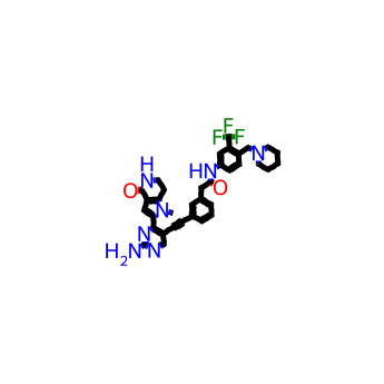 Cn1c(-c2nc(N)ncc2C#Cc2cccc(CC(=O)Nc3ccc(CN4CCCCC4)c(C(F)(F)F)c3)c2)cc2c1CCNC2=O